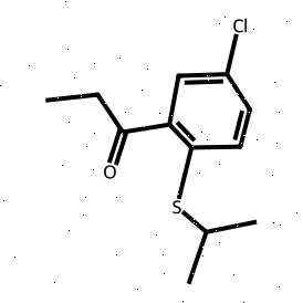 CCC(=O)c1cc(Cl)ccc1SC(C)C